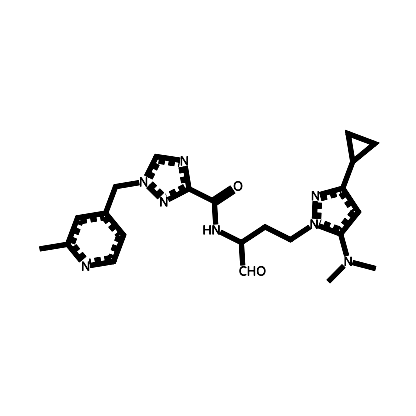 Cc1cc(Cn2cnc(C(=O)NC(C=O)CCn3nc(C4CC4)cc3N(C)C)n2)ccn1